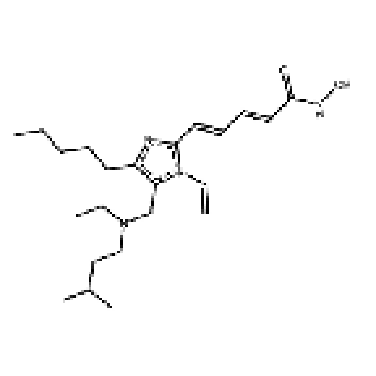 C=Cn1c(/C=C/C=C/C(=O)NO)nc(CCCCC)c1CN(CC)CCC(C)C